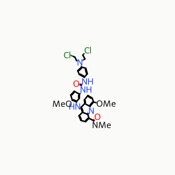 CNC(=O)c1cccc2c(Nc3cc(NC(=O)Nc4ccc(N(CCCl)CCCl)cc4)ccc3OC)c3cccc(OC)c3nc12